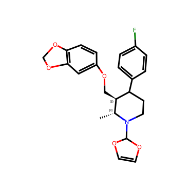 C[C@@H]1[C@@H](COc2ccc3c(c2)OCO3)C(c2ccc(F)cc2)CCN1C1OC=CO1